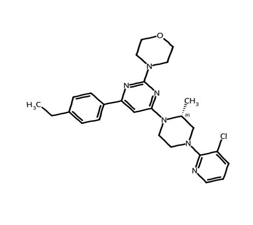 CCc1ccc(-c2cc(N3CCN(c4ncccc4Cl)C[C@H]3C)nc(N3CCOCC3)n2)cc1